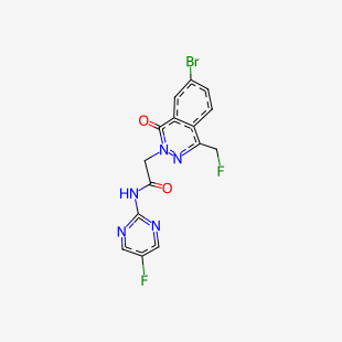 O=C(Cn1nc(CF)c2ccc(Br)cc2c1=O)Nc1ncc(F)cn1